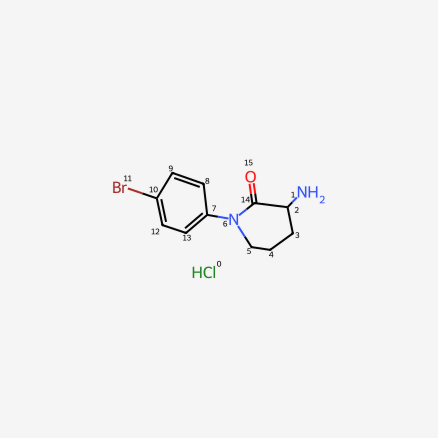 Cl.NC1CCCN(c2ccc(Br)cc2)C1=O